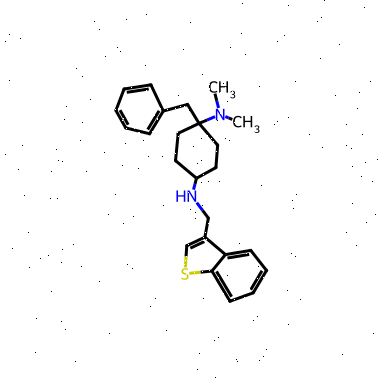 CN(C)C1(Cc2ccccc2)CCC(NCc2csc3ccccc23)CC1